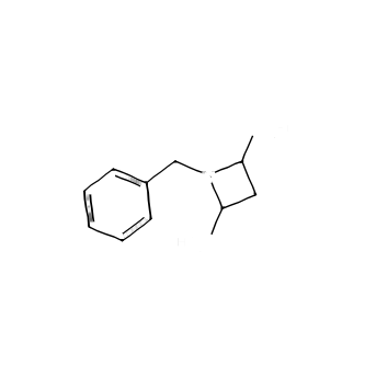 CCOC(=O)C1CC(C(=O)O)N1Cc1ccccc1